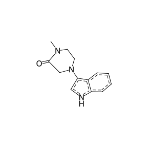 CN1CCN(c2c[nH]c3ccccc23)CC1=O